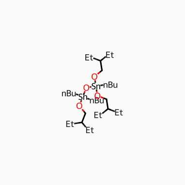 CCC[CH2][Sn]([CH2]CCC)([O]CC(CC)CC)[O][Sn]([CH2]CCC)([O]CC(CC)CC)[O]CC(CC)CC